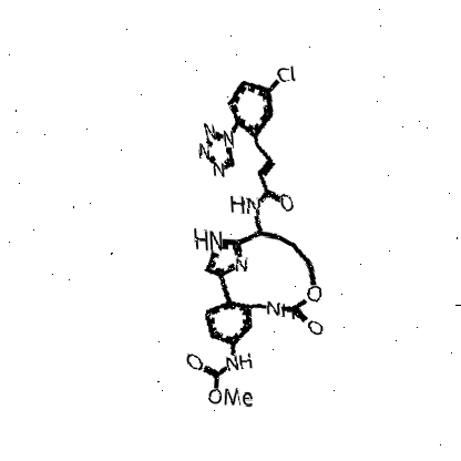 COC(=O)Nc1ccc2c(c1)NC(=O)OCCCC(NC(=O)/C=C/c1cc(Cl)ccc1-n1cnnn1)c1nc-2c[nH]1